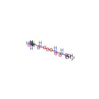 CN(C)OCCCNC(=O)CCCC(=O)NCCCOCCOCCOCCCNC(=O)CCCC[C@@H]1SC[C@@H]2NC(=O)N[C@@H]21